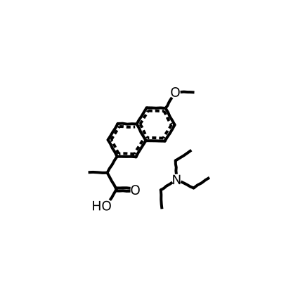 CCN(CC)CC.COc1ccc2cc(C(C)C(=O)O)ccc2c1